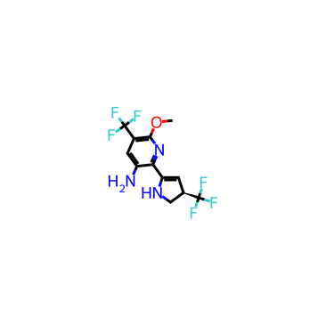 COc1nc(C2=C[C@@H](C(F)(F)F)CN2)c(N)cc1C(F)(F)F